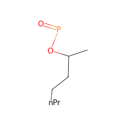 CCCCCC(C)OP=O